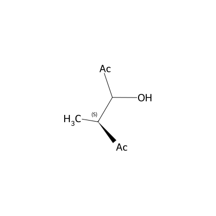 CC(=O)C(O)[C@H](C)C(C)=O